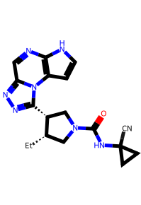 CC[C@H]1CN(C(=O)NC2(C#N)CC2)C[C@H]1c1nnc2cnc3[nH]ccc3n12